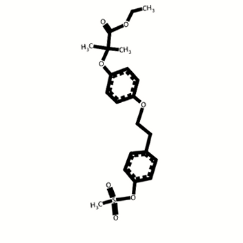 CCOC(=O)C(C)(C)Oc1ccc(OCCc2ccc(OS(C)(=O)=O)cc2)cc1